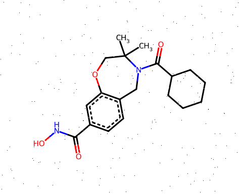 CC1(C)COc2cc(C(=O)NO)ccc2CN1C(=O)C1CCCCC1